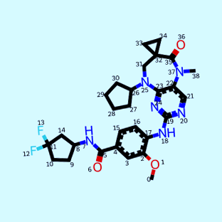 COc1cc(C(=O)NC2CCC(F)(F)C2)ccc1Nc1ncc2c(n1)N(C1CCCC1)CC1(CC1)C(=O)N2C